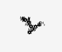 Cn1cc(-c2ccc(N(C(=O)NCc3ccccc3)C3CCC(Nc4ncc(C#N)c(N5CCC(O)(C(F)(F)F)CC5)n4)CC3)nc2)cn1